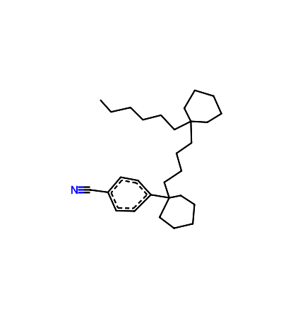 CCCCCCC1(CCCCC2(c3ccc(C#N)cc3)CCCCC2)CCCCC1